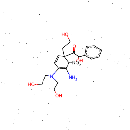 NC1=C(N(CCO)CCO)C=CC(CCO)(C(=O)C(O)c2ccccc2)C1[N+](=O)[O-]